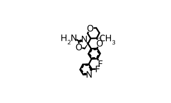 C[C@@]12CCOCC1[C@]1(COC(N)=N1)c1cc(-c3cccnc3F)c(F)cc1O2